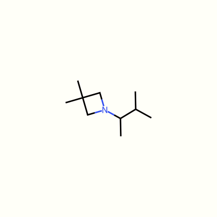 CC(C)C(C)N1CC(C)(C)C1